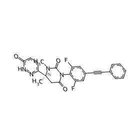 CN1C(=O)N(c2c(F)cc(C#Cc3ccccc3)cc2F)C(=O)C[C@@]1(C)c1ccc(=O)[nH]n1